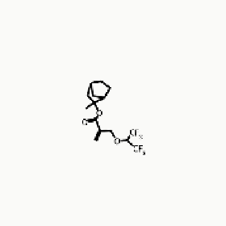 C=C(COC(C(F)(F)F)C(F)(F)F)C(=O)OC1(C)CC2CCC1C2